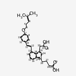 CC(C)=CCCOc1ccc(/C=C/c2cccc3c2c(CC(=O)O)cn3CCCC(=O)O)cc1